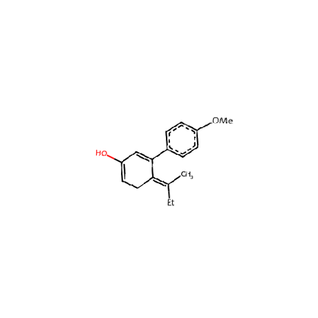 CCC(C)=C1CC=C(O)C=C1c1ccc(OC)cc1